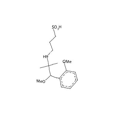 COc1ccccc1C(OC)C(C)(C)NCCCS(=O)(=O)O